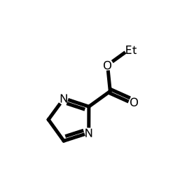 CCOC(=O)C1=NCC=N1